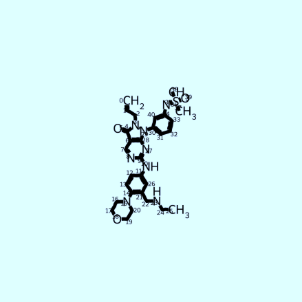 C=CCn1c(=O)c2cnc(Nc3ccc(N4CCOCC4)c(CNCC)c3)nc2n1-c1cccc(N=S(C)(C)=O)c1